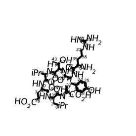 CC(C)C[C@@H](NC(=O)[C@@H](CCC(=O)O)NC(=O)C(NC(=O)C(NC(=O)[C@@H](Cc1ccc(O)cc1)NC(=O)[C@H](N)CCCNC(=N)N)[C@@H](C)O)C(C)C)C(=O)N[C@H](C)C(=O)O